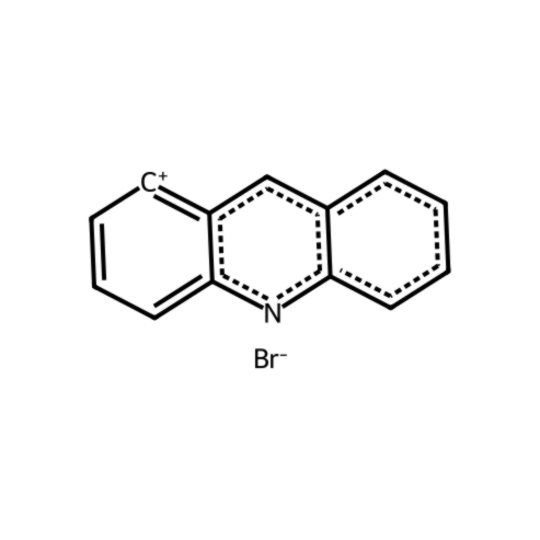 [Br-].[C+]1=c2cc3ccccc3nc2=CC=C1